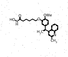 C=C(c1ccc(OC)c(OCCCCCC(=O)NO)c1)c1cc(C)nc2ccccc12